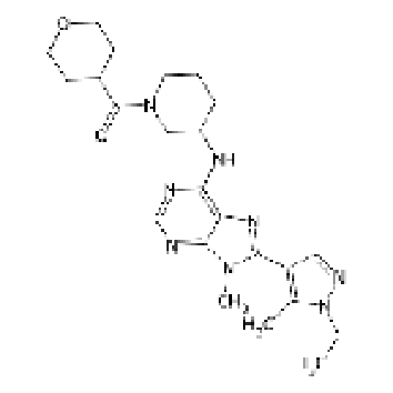 CCn1ncc(-c2nc3c(NC4CCCN(C(=O)C5CCOCC5)C4)ncnc3n2C)c1C